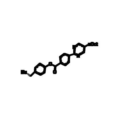 CCCCCCCCc1cnc(-c2ccc(C(=O)Oc3ccc(C[C@@H](C)CC)cc3)cc2)nc1